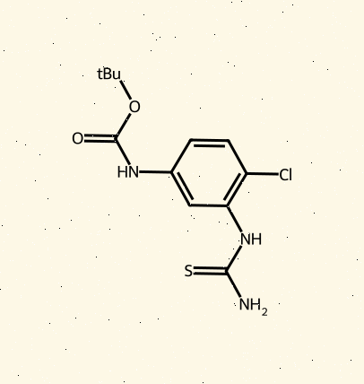 CC(C)(C)OC(=O)Nc1ccc(Cl)c(NC(N)=S)c1